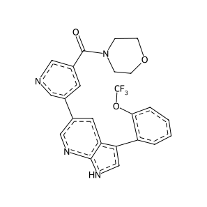 O=C(c1cncc(-c2cnc3[nH]cc(-c4ccccc4OC(F)(F)F)c3c2)c1)N1CCOCC1